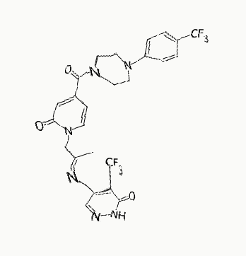 C/C(Cn1ccc(C(=O)N2CCN(c3ccc(C(F)(F)F)cc3)CC2)cc1=O)=N\c1cn[nH]c(=O)c1C(F)(F)F